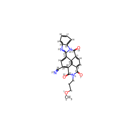 COCCCN1C(=O)c2ccc3c(=O)n4c5ccccc5nc4c4cc(C#N)c(c2c34)C1=O